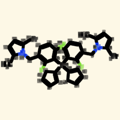 Cc1ccc(C(C)C)n1Cc1ccc(F)[c]([Ti]([C]2=CC=CC2)([C]2=CC=CC2)[c]2c(F)ccc(Cn3c(C)ccc3C(C)C)c2F)c1F